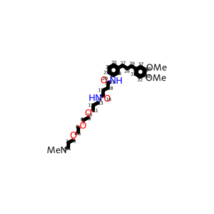 CNCCCOCCOCCOCCCNC(=O)CCC(=O)Nc1cccc(CCCc2ccc(OC)c(OC)c2)c1